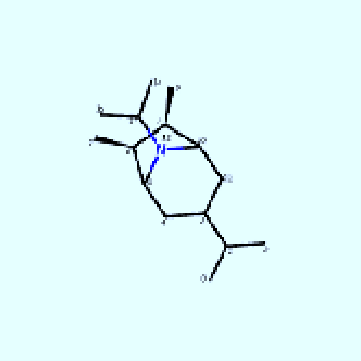 CC(C)C1CC2[C@@H](C)[C@@H](C)C(C1)N2C(C)C